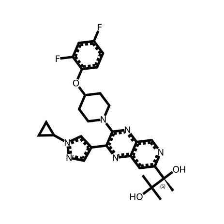 CC(C)(O)[C@@](C)(O)c1cc2nc(-c3cnn(C4CC4)c3)c(N3CCC(Oc4ccc(F)cc4F)CC3)nc2cn1